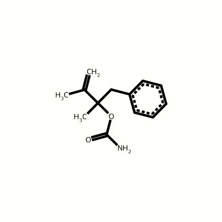 C=C(C)C(C)(Cc1ccccc1)OC(N)=O